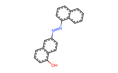 Oc1cccc2cc(N=Nc3cccc4ccccc34)ccc12